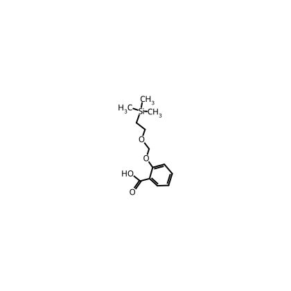 C[Si](C)(C)CCOCOc1ccccc1C(=O)O